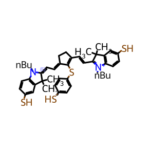 CCCCN1/C(=C/C=C2CCC(C=CC3=[N+](CCCC)c4ccc(S)cc4C3(C)C)=C2Sc2ccc(S)cc2)C(C)(C)c2cc(S)ccc21